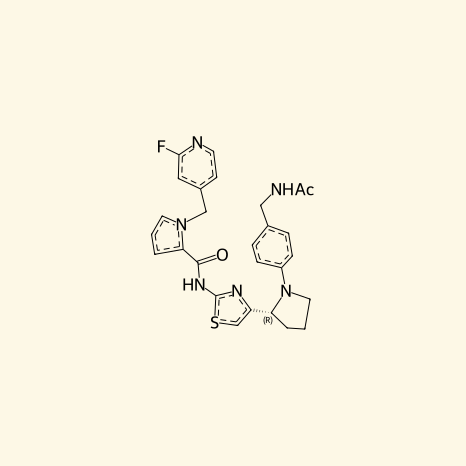 CC(=O)NCc1ccc(N2CCC[C@@H]2c2csc(NC(=O)c3cccn3Cc3ccnc(F)c3)n2)cc1